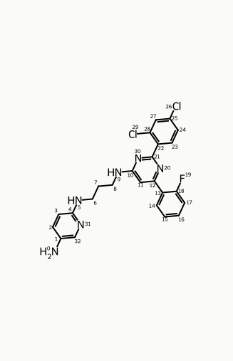 Nc1ccc(NCCCNc2cc(-c3ccccc3F)nc(-c3ccc(Cl)cc3Cl)n2)nc1